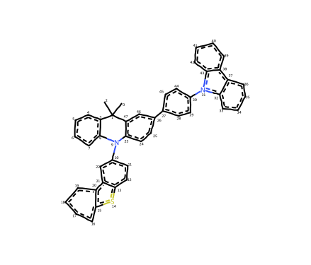 CC1(C)c2ccccc2N(c2ccc3sc4ccccc4c3c2)c2ccc(-c3ccc(-n4c5ccccc5c5ccccc54)cc3)cc21